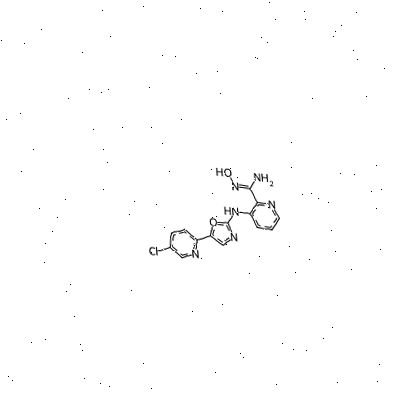 NC(=NO)c1ncccc1Nc1ncc(-c2ccc(Cl)cn2)o1